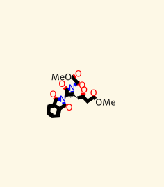 COC(=O)CC(=O)C[C@@H]1[C@@H](N2C(=O)c3ccccc3C2=O)C(=O)N1C(=O)C(=O)OC